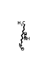 CCCCCCCCCCN=C=O.N=C=O